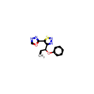 C=CC(Oc1ccccc1)c1nnsc1-c1nnco1